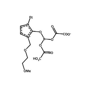 CCn1cc[n+](COCCOC)c1OB(OC(=O)C(=O)[O-])OC(=O)C(=O)O